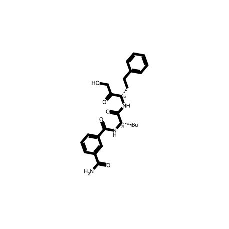 CCC(C)[C@H](NC(=O)c1cccc(C(N)=O)c1)C(=O)N[C@@H](CCc1ccccc1)C(=O)CO